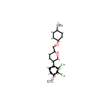 CCCCC1CCC(OCC2CCC(c3ccc(OCC)c(F)c3F)CO2)CC1